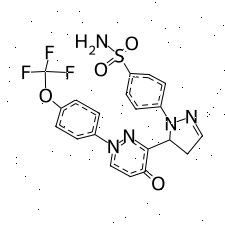 NS(=O)(=O)c1ccc(N2N=CCC2c2nn(-c3ccc(OC(F)(F)F)cc3)ccc2=O)cc1